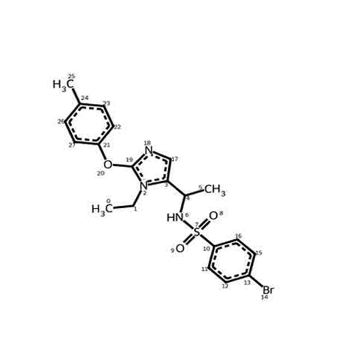 CCn1c(C(C)NS(=O)(=O)c2ccc(Br)cc2)cnc1Oc1ccc(C)cc1